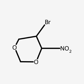 O=[N+]([O-])C1OCOCC1Br